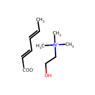 C/C=C/C=C/C(=O)[O-].C[N+](C)(C)CCO